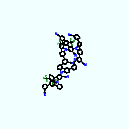 N#Cc1cccc(-c2ccc3c(c2)c2ccccc2n3-c2cc(C#N)c(-n3c4ccc(-c5cccc(C#N)c5)cc4c4c(-c5cc(C#N)cc(-c6ccc7c8ccc(-c9cccc(C#N)c9)cc8n(-c8cc(C#N)c(-n9c%10cc(-c%11cccc(C#N)c%11)ccc%10c%10ccc(-c%11cccc(C#N)c%11)cc%109)cc8-c8cc(C(F)(F)F)ccc8C(F)(F)F)c7c6)c5)cccc43)cc2-c2ccc(C(F)(F)F)cc2C(F)(F)F)c1